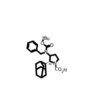 CC(C)(C)OC(=O)N(Cc1ccccc1)C1CCN(C(=O)O)[C@@H]1C1C2CC3CC(C2)CC1C3